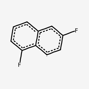 Fc1c[c]c2c(F)cccc2c1